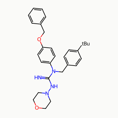 CC(C)(C)c1ccc(CN(C(=N)NN2CCOCC2)c2ccc(OCc3ccccc3)cc2)cc1